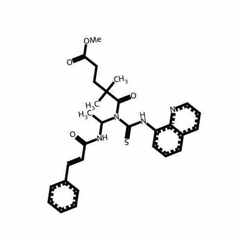 COC(=O)CCC(C)(C)C(=O)N(C(=S)Nc1cccc2cccnc12)C(C)NC(=O)/C=C/c1ccccc1